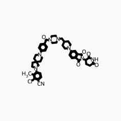 Cc1c(N2CCC3(CCN(c4ccc(C(=O)N5CCN(CC6CCN(c7ccc8c(c7)C(=O)N(C7CCC(=O)NC7=O)C8=O)CC6)CC5)cc4)CC3)C2)ccc(C#N)c1Cl